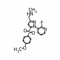 CNCc1cc(S(=O)(=O)c2ccc(OC)cc2)n(-c2cccnc2F)n1